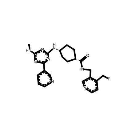 CNc1nc(N[C@H]2CC[C@@H](C(=O)NCc3cnccc3CF)CC2)nc(-c2cccnc2)n1